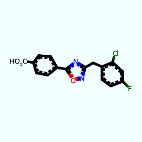 O=C(O)c1ccc(-c2nc(Cc3ccc(F)cc3Cl)no2)cc1